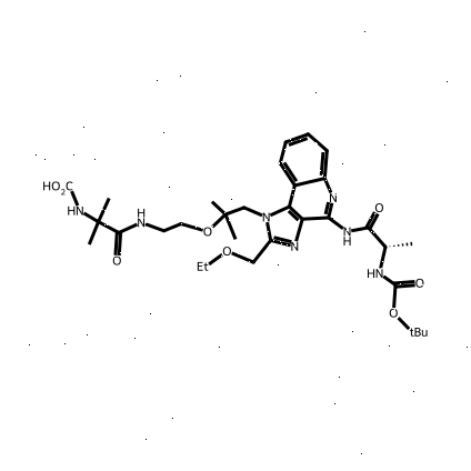 CCOCc1nc2c(NC(=O)[C@H](C)NC(=O)OC(C)(C)C)nc3ccccc3c2n1CC(C)(C)OCCNC(=O)C(C)(C)NC(=O)O